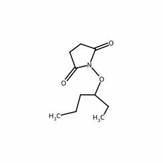 CCCC(CC)ON1C(=O)CCC1=O